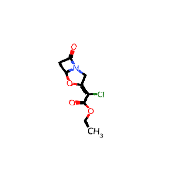 CCOC(=O)C(Cl)=C1CN2C(=O)CC2O1